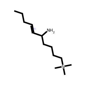 CCC/C=C/C(N)CCCC[Si](C)(C)C